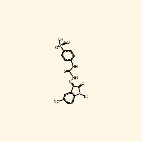 CCN1C(=O)C(=NNC(=S)Nc2ccc(S(N)(=O)=O)cc2)c2cc(C#N)ccc21